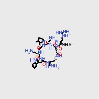 C=C(N)C1CCCNC(=O)CC[C@H](NC(=O)[C@H](CCCNC(=N)N)NC(C)=O)C(=O)N[C@@H](CCN)C(=O)N[C@H](Cc2ccccc2C)C(=O)N[C@@H](CCCN)C(=O)N[C@@H](Cc2c[nH]c3ccccc23)C(=O)N1